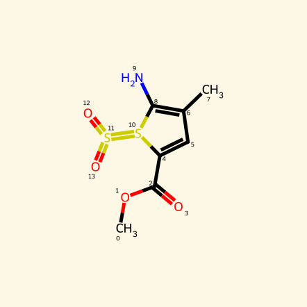 COC(=O)C1=CC(C)=C(N)S1=S(=O)=O